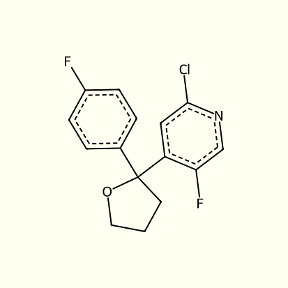 Fc1ccc(C2(c3cc(Cl)ncc3F)CCCO2)cc1